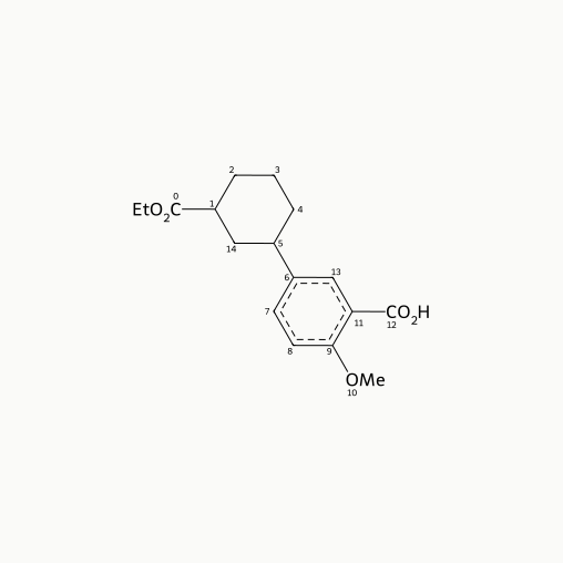 CCOC(=O)C1CCCC(c2ccc(OC)c(C(=O)O)c2)C1